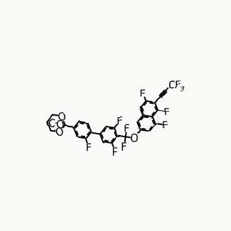 Fc1cc(C23OCC(CO2)CO3)ccc1-c1cc(F)c(C(F)(F)Oc2cc(F)c3c(F)c(C#CC(F)(F)F)c(F)cc3c2)c(F)c1